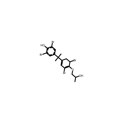 CC(O)COC1=C(Br)C=C(C(C)(C)c2cc(Br)c(O)c(Br)c2)CC1Br